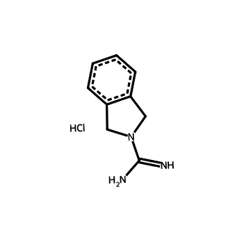 Cl.N=C(N)N1Cc2ccccc2C1